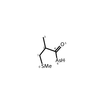 CSCC(C)C(=O)[AsH]